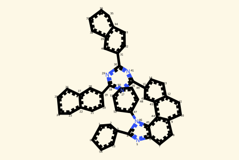 c1ccc(-c2nc3ccc4ccc5ccc(-c6nc(-c7ccc8ccccc8c7)nc(-c7ccc8ccccc8c7)n6)cc5c4c3n2-c2ccccc2)cc1